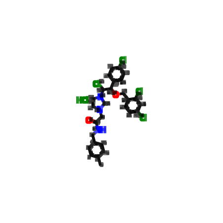 Cc1ccc(CNC(=O)CN2C=CN(C(Cl)C(OCc3ccc(Cl)cc3Cl)c3ccc(Cl)cc3)C2)cc1.Cl